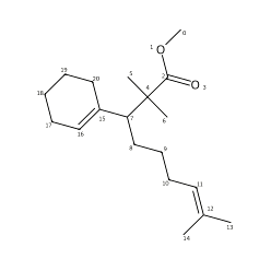 COC(=O)C(C)(C)C(CCCC=C(C)C)C1=CCCCC1